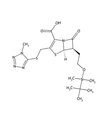 Cn1nnnc1SCC1=C(C(=O)O)N2C(=O)[C@@H](CCO[Si](C)(C)C(C)(C)C)[C@H]2S1